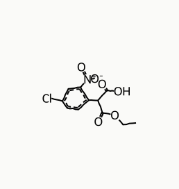 CCOC(=O)C(C(=O)O)c1ccc(Cl)cc1[N+](=O)[O-]